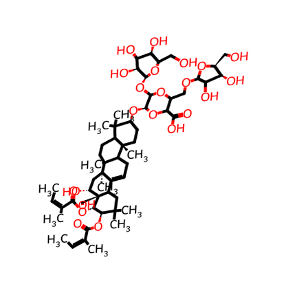 C/C=C(/C)C(=O)O[C@H]1[C@H](OC(=O)/C(C)=C\C)[C@@]2(CO)C(CC1(C)C)C1=CCC3[C@@]4(C)CC[C@H](O[C@@H]5OC(C(=O)O)C(COC6O[C@@H](CO)[C@@H](O)C6O)OC5O[C@@H]5OC(CO)[C@H](O)C(O)[C@@H]5O)C(C)(C)C4CC[C@@]3(C)[C@]1(C)C[C@H]2O